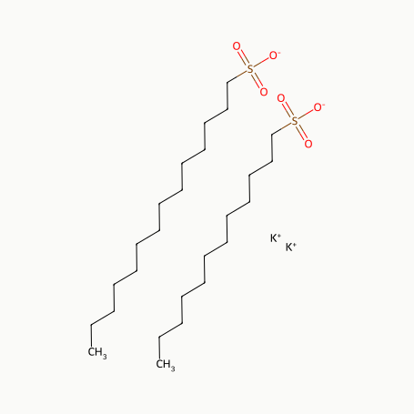 CCCCCCCCCCCCCCS(=O)(=O)[O-].CCCCCCCCCCCCS(=O)(=O)[O-].[K+].[K+]